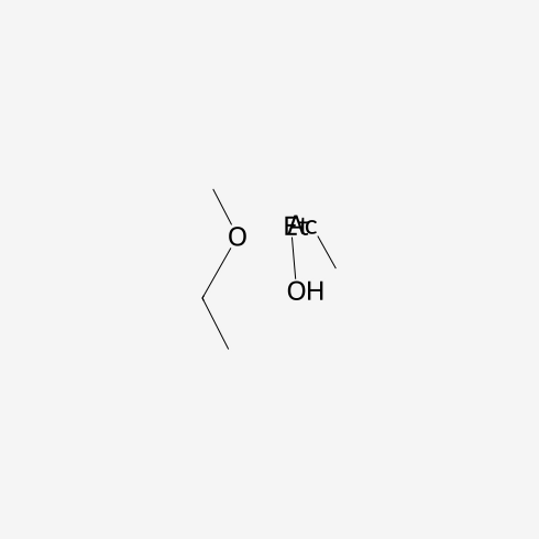 CC(C)=O.CCO.CCOC